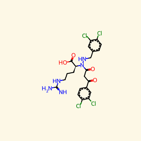 N=C(N)NCCC[C@@H](C(=O)O)N(NCc1ccc(Cl)c(Cl)c1)C(=O)CC(=O)c1ccc(Cl)c(Cl)c1